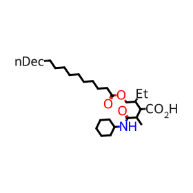 CCCCCCCCCCCCCCCCCCCC(=O)OCC(CC)C(C(=O)O)C(C)C(=O)NC1CCCCC1